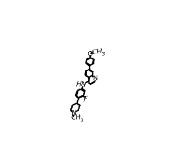 COc1ccc(-c2ccc3c(Nc4ccc(C5CCN(C)CC5)c(F)c4)ccnc3c2)cc1